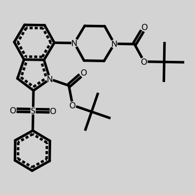 CC(C)(C)OC(=O)N1CCN(c2cccc3cc(S(=O)(=O)c4ccccc4)n(C(=O)OC(C)(C)C)c23)CC1